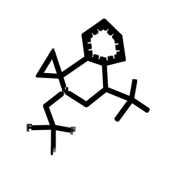 CC(C)(C)C1CN(CC(F)(F)F)C2(CC2)c2ccccc21